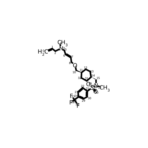 C=CCN(C)CC=CCOC[C@H]1CC[C@H](CN(C)S(=O)(=O)c2ccc(C(F)(F)F)cc2)CC1